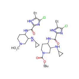 CCc1[nH]c(C(=O)NC2CCN(C(=O)O)CC2NC2CC2)nc1Cl.CCc1[nH]c(C(=O)NC2CCN(C(=O)OC(C)(C)C)CC2NC2CC2)nc1Cl